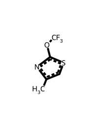 Cc1csc(OC(F)(F)F)n1